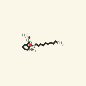 CCCCCCCCCCOC(=O)C1(N)CCCCC1C(=O)OCC